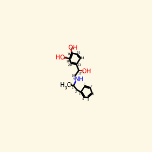 CC(Cc1ccccc1)NC[C@H](O)c1ccc(O)c(O)c1